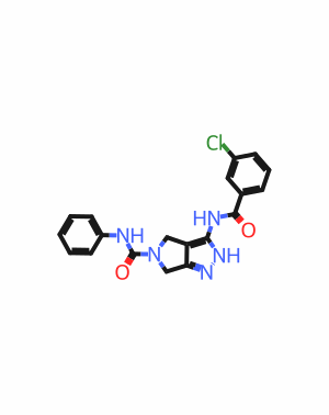 O=C(Nc1[nH]nc2c1CN(C(=O)Nc1ccccc1)C2)c1cccc(Cl)c1